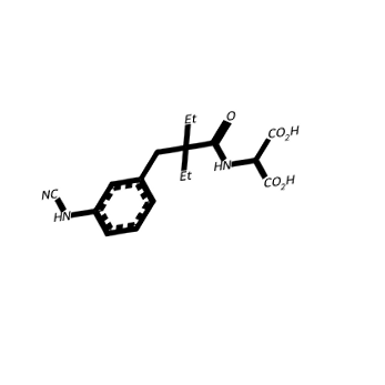 CCC(CC)(Cc1cccc(NC#N)c1)C(=O)NC(C(=O)O)C(=O)O